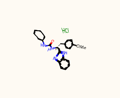 COc1ccc(C[C@@H](NC(=O)NC2CCCCC2)c2nc3ccccc3[nH]2)cc1.Cl